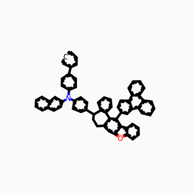 c1ccc(-c2ccc(N(c3ccc(C4CCc5cc6oc7ccccc7c6c(-c6ccc7c8ccccc8c8ccccc8c7c6)c5-c5ccccc54)cc3)c3ccc4ccccc4c3)cc2)cc1